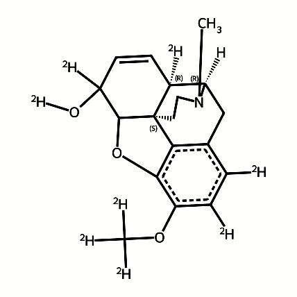 [2H]OC1([2H])C=C[C@@]2([2H])[C@H]3Cc4c([2H])c([2H])c(OC([2H])([2H])[2H])c5c4[C@@]2(CCN3C)C1O5